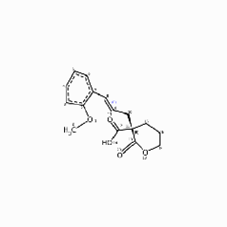 COc1ccccc1/C=C/C[C@@]1(C(=O)O)CCCOC1=O